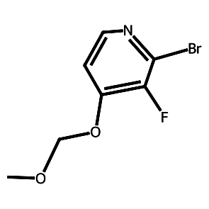 COCOc1ccnc(Br)c1F